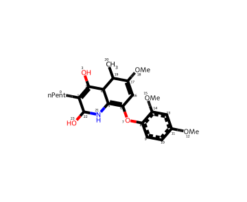 CCCCCC1=C(O)C2C(=C(Oc3ccc(OC)cc3OC)C=C(OC)C2C)NC1O